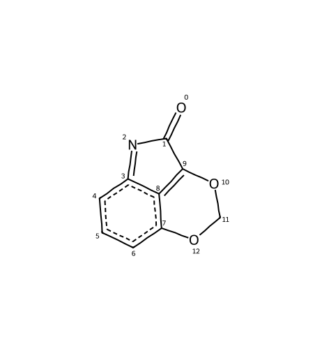 O=C1N=c2cccc3c2=C1OCO3